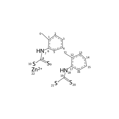 Cc1ccccc1NC(=S)[S-].Cc1ccccc1NC(=S)[S-].[Zn+2]